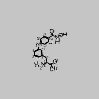 NC(Cc1cccc(Oc2ccc(C(=O)NO)cc2)c1)C(=O)O